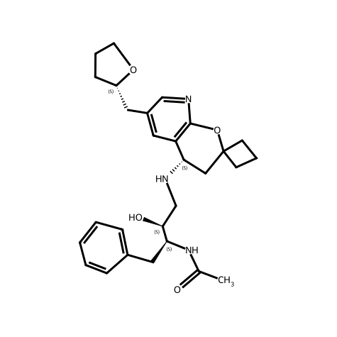 CC(=O)N[C@@H](Cc1ccccc1)[C@@H](O)CN[C@H]1CC2(CCC2)Oc2ncc(C[C@@H]3CCCO3)cc21